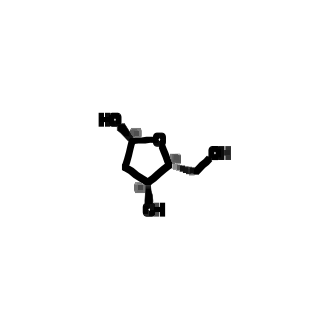 OC[C@H]1O[C@H](O)C[C@@H]1O